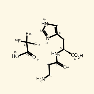 NCCC(=O)N[C@@H](Cc1c[nH]cn1)C(=O)O.O=C(O)C(F)(F)F